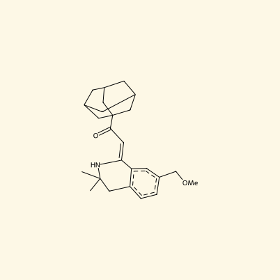 COCc1ccc2c(c1)/C(=C/C(=O)C13CC4CC(CC(C4)C1)C3)NC(C)(C)C2